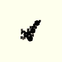 CN1C[C@@H](CC(F)F)c2[nH]c(-c3ccnc(NC(=O)Cc4ccc(F)cc4)c3)c(Nc3ccccc3)c2C1=O